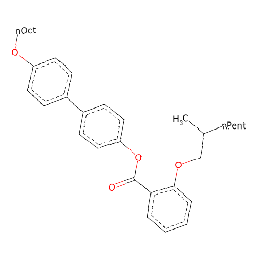 CCCCCCCCOc1ccc(-c2ccc(OC(=O)c3ccccc3OCC(C)CCCCC)cc2)cc1